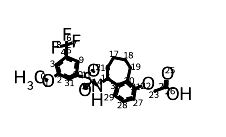 COc1cc(C(F)(F)F)cc(S(=O)(=O)NC2CCCCc3c(OCC(=O)O)cccc32)c1